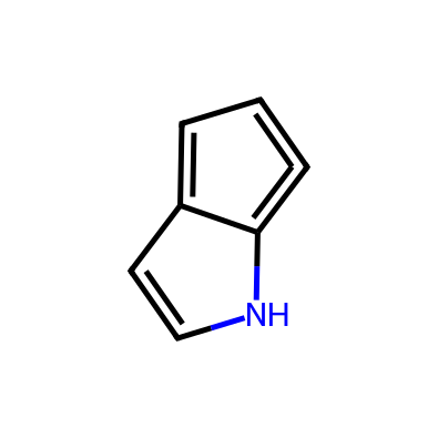 C1=CC=c2cc[nH]c2=1